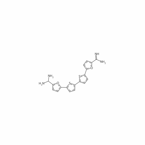 N=C(N)c1ccc(-c2ccc(-c3ccc(-c4ccc(C(N)N)o4)s3)s2)o1